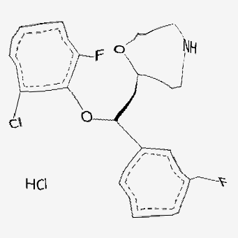 Cl.Fc1cccc(C(Oc2c(F)cccc2Cl)[C@@H]2CNCCO2)c1